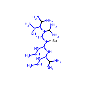 CCCCN(NN(C(N)N)N(C(N)N)N(N)N)N(NNN)NN(NNN)C(N)N